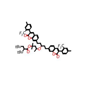 Cc1ccc(-c2cc3ccc(CCC(CCc4ccc5cc(-c6ccc(C)cc6C(F)(F)F)c(=O)oc5c4)OC(C)CC(C)(C)OC(=O)C(CC(C)(C)C)C(C)(C)C)cc3oc2=O)c(C(F)(F)F)c1